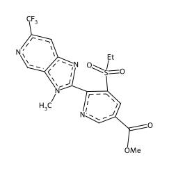 CCS(=O)(=O)c1cc(C(=O)OC)cnc1-c1nc2cc(C(F)(F)F)ncc2n1C